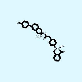 CC(C)(C)OC(=O)c1ccccc1COc1ccc(CC(=O)NC2(C(=O)O)Cc3ccc(-c4ccc(Cl)cc4)cc3C2)cc1